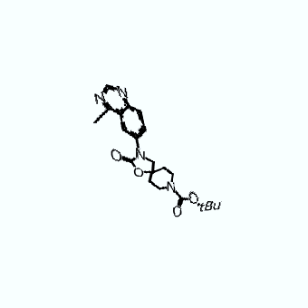 Cc1ncnc2ccc(N3CC4(CCN(C(=O)OC(C)(C)C)CC4)OC3=O)cc12